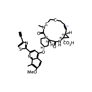 C#Cc1csc(-c2cc(O[C@@H]3CCN4C(=O)N(C)CCCC/C=C\[C@@H]5C[C@@]5(C(=O)O)NC(=O)[C@@H]4C3)c3ccc(OC)c(C)c3n2)n1